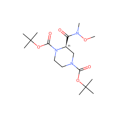 CON(C)C(=O)[C@H]1CN(C(=O)OC(C)(C)C)CCN1C(=O)OC(C)(C)C